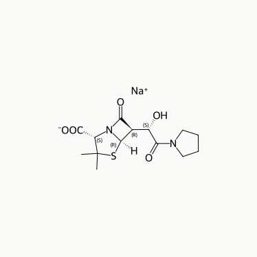 CC1(C)S[C@@H]2[C@H]([C@H](O)C(=O)N3CCCC3)C(=O)N2[C@H]1C(=O)[O-].[Na+]